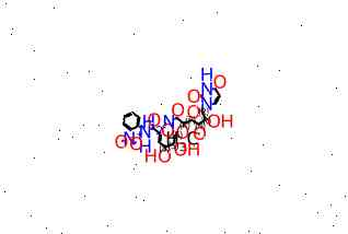 CO[C@H]1[C@@H](O)[C@H](n2ccc(=O)[nH]c2=O)O[C@@H]1[C@@H](O[C@H]1OC(C(=O)Nc2ccccc2[N+](=O)[O-])=C[C@H](O)[C@@H]1O)C(N)=O